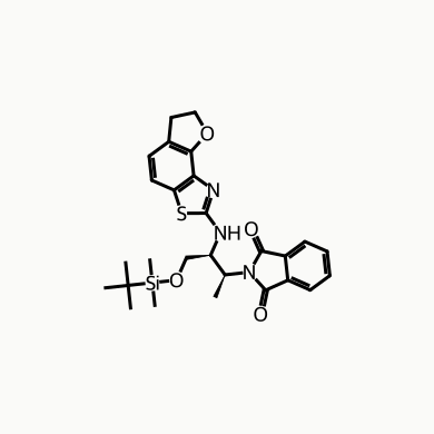 C[C@@H]([C@@H](CO[Si](C)(C)C(C)(C)C)Nc1nc2c3c(ccc2s1)CCO3)N1C(=O)c2ccccc2C1=O